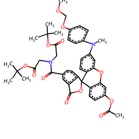 COCOc1ccc(N(C)c2ccc3c(c2)Oc2cc(OC(C)=O)ccc2C32OC(=O)c3cc(C(=O)N(CC(=O)OC(C)(C)C)CC(=O)OC(C)(C)C)ccc32)cc1